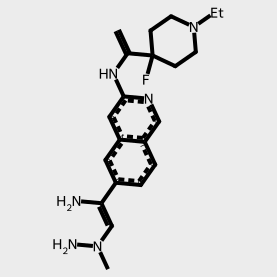 C=C(Nc1cc2cc(/C(N)=C/N(C)N)ccc2cn1)C1(F)CCN(CC)CC1